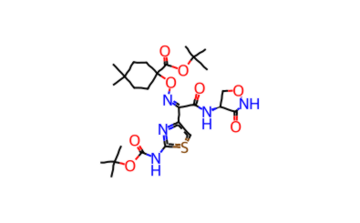 CC1(C)CCC(O/N=C(\C(=O)N[C@H]2CONC2=O)c2csc(NC(=O)OC(C)(C)C)n2)(C(=O)OC(C)(C)C)CC1